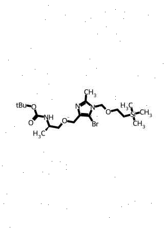 Cc1nc(COC[C@@H](C)NC(=O)OC(C)(C)C)c(Br)n1COCC[Si](C)(C)C